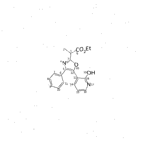 CCOC(=O)C(C)c1nc(-c2ccccc2)c(-c2cccnc2O)o1